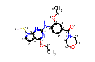 CCOc1cc(C(=O)N2CCOCC2)ccc1Nc1nc(OCC)c2ccn(SI)c2n1